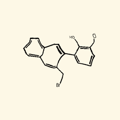 Oc1c(Cl)cccc1-c1cc2ccccc2cc1CBr